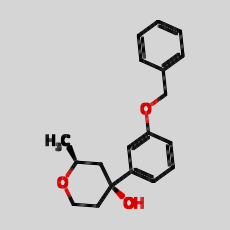 C[C@H]1C[C@](O)(c2cccc(OCc3ccccc3)c2)CCO1